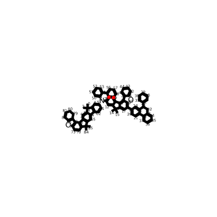 CC1(C)c2cc(N(c3ccc4c(c3)C(C)(C)c3cc(-c5ccc6c(c5)C(c5ccccc5)Cc5ccccc5-6)c5oc6ccccc6c5c3-4)c3ccccc3-c3ccccc3)ccc2-c2cc3c(cc21)-c1c(ccc2oc4c(c12)CCC=C4)C3(C)C